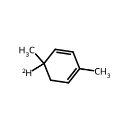 [2H]C1(C)C=CC(C)=CC1